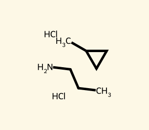 CC1CC1.CCCN.Cl.Cl